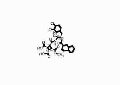 COC(=O)[C@H]1[C@H](C(=O)O)[C@@H](C(=O)O)[C@H]1C(=O)N[C@@H](C)[C@@H](Cc1ccc(Cl)c(Cl)c1)OC(=O)c1ccc2ccccc2c1